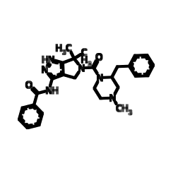 CN1CCN(C(=O)N2Cc3c(NC(=O)c4ccccc4)n[nH]c3C2(C)C)C(Cc2ccccc2)C1